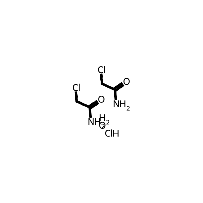 Cl.NC(=O)CCl.NC(=O)CCl.O